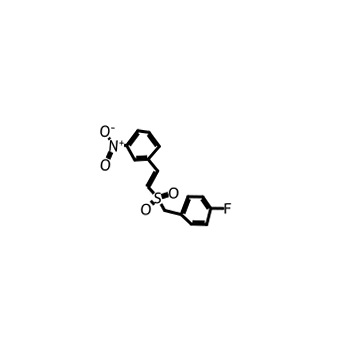 O=[N+]([O-])c1cccc(C=CS(=O)(=O)Cc2ccc(F)cc2)c1